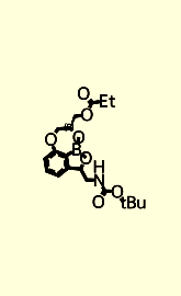 CCC(=O)OC[C@@H]1COc2cccc3c2B(OC3CNC(=O)OC(C)(C)C)O1